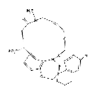 CN1CC=CCCCCN2C[C@@]3(CCCc4cc(Cl)ccc43)COc3ccc(cc32)[C@H](C(=O)O)CCC1=O